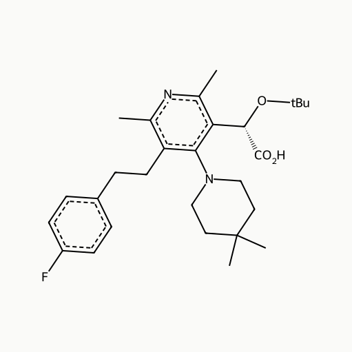 Cc1nc(C)c([C@H](OC(C)(C)C)C(=O)O)c(N2CCC(C)(C)CC2)c1CCc1ccc(F)cc1